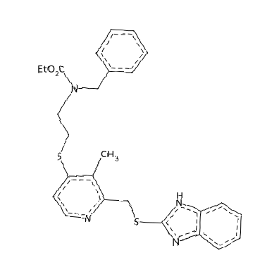 CCOC(=O)N(CCSc1ccnc(CSc2nc3ccccc3[nH]2)c1C)Cc1ccccc1